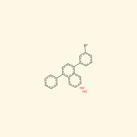 [B+2]c1cccc(-c2ccc(-c3ccccc3)c3ccccc23)c1.[OH-].[OH-]